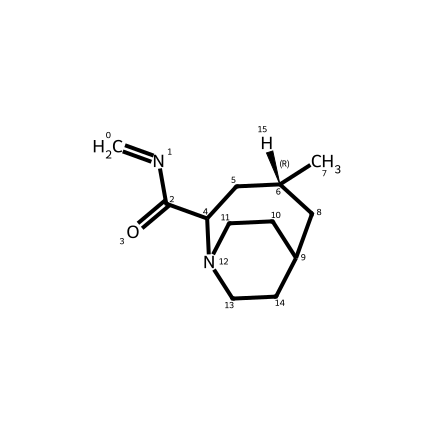 C=NC(=O)C1C[C@H](C)CC2CCN1CC2